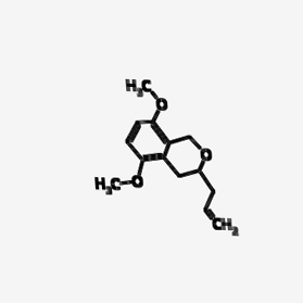 C=CCC1Cc2c(OC)ccc(OC)c2CO1